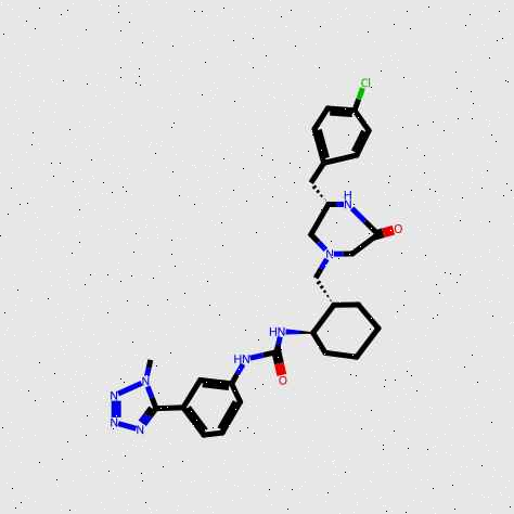 Cn1nnnc1-c1cccc(NC(=O)N[C@@H]2CCCC[C@H]2CN2CC(=O)N[C@@H](Cc3ccc(Cl)cc3)C2)c1